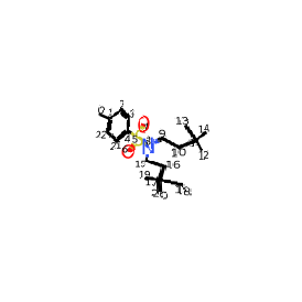 Cc1ccc(S(=O)(=O)N(CCC(C)(C)C)CCC(C)(C)C)cc1